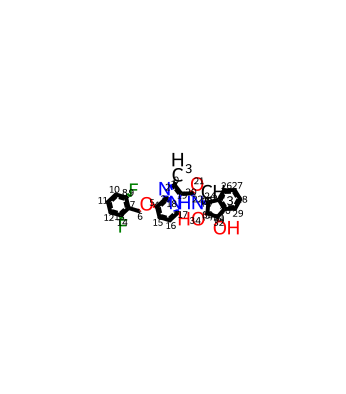 Cc1nc2c(OCc3c(F)cccc3F)cccn2c1C(=O)N[C@@]1(C)c2ccccc2[C@H](O)[C@H]1O